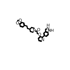 O=C(COc1cccnc1-c1ccc2c(c1)CNN2)N1CCC(CCc2ccc3c(c2)OCO3)CC1